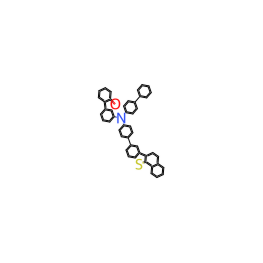 c1ccc(-c2ccc(N(c3ccc(-c4ccc5sc6c7ccccc7ccc6c5c4)cc3)c3cccc4c3oc3ccccc34)cc2)cc1